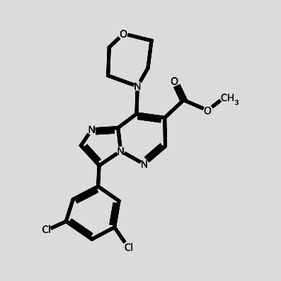 COC(=O)c1cnn2c(-c3cc(Cl)cc(Cl)c3)cnc2c1N1CCOCC1